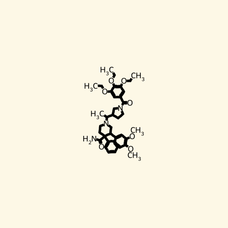 CCOc1cc(C(=O)N2CCC(C(C)N3CCC(C(N)=O)(c4ccccc4)C(c4ccc(OC)c(OC)c4)C3)C2)cc(OCC)c1OCC